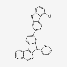 Clc1cccc2sc3cc(-c4ccc5c6c7ccccc7ccc6n(-c6ccccc6)c5c4)ccc3c12